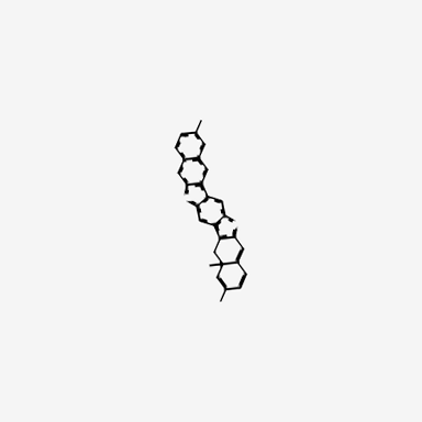 CC1=CC2(C)Cc3c(sc4cc5c(cc34)sc3cc4ccc(C)cc4cc35)C=C2C=C1